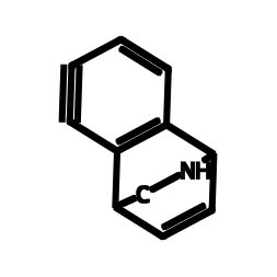 c1ccc2c(c#1)C1C=CC2NC1